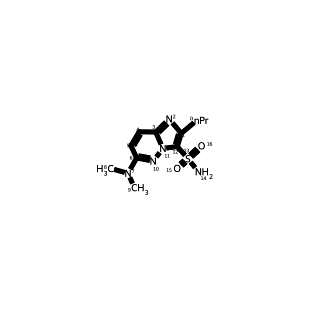 CCCc1nc2ccc(N(C)C)nn2c1S(N)(=O)=O